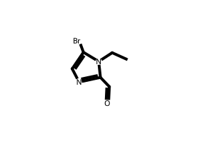 CCn1c(Br)cnc1C=O